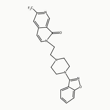 O=c1c2cnc(C(F)(F)F)cc2ccn1CCN1CCN(c2noc3ccccc23)CC1